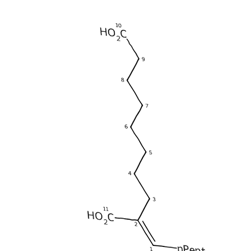 CCCCCC=C(CCCCCCCC(=O)O)C(=O)O